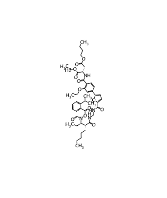 CBOC(=O)[C@H](CC(=O)OCCCC)NC(=O)c1ccc(-c2ccc(C(=O)NCNC(=O)[C@H](CCCCC)[C@@H](CC)N(C=O)OC(=O)c3ccccc3C(C)C)o2)cc1OCC